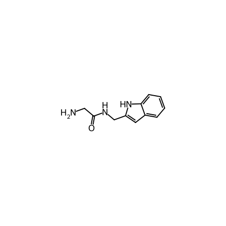 NCC(=O)NCc1cc2ccccc2[nH]1